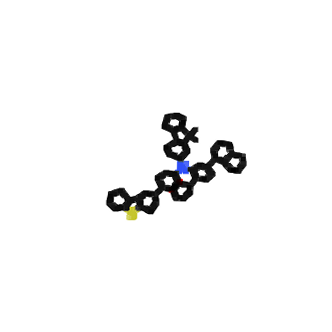 CC1(C)c2ccccc2-c2ccc(N(c3ccc(-c4ccc5sc6ccccc6c5c4)cc3)c3cc(-c4cccc5ccccc45)ccc3-c3ccccc3)cc21